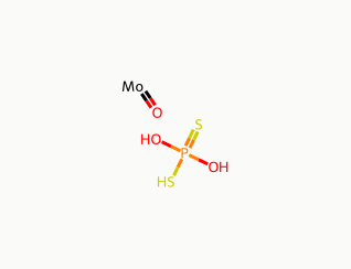 OP(O)(=S)S.[O]=[Mo]